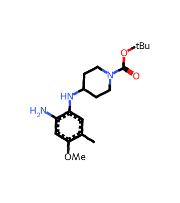 COc1cc(N)c(NC2CCN(C(=O)OC(C)(C)C)CC2)cc1C